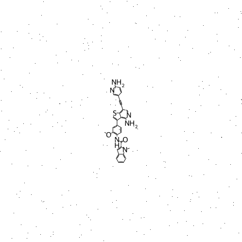 COc1cc(-c2csc3c(C#Cc4ccc(N)nc4)cnc(N)c23)ccc1NC(=O)c1cc2ccccc2n1C